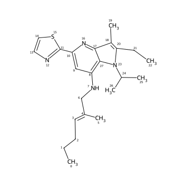 CCC/C=C(\C)CNc1cc(-c2nccs2)nc2c(C)c(CC)n(C(C)C)c12